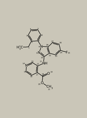 CCc1ccccc1-n1nc(Nc2cnccc2C(=O)OC)c2cc(F)ccc21